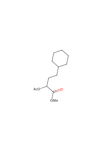 COC(=O)C(CCC1CCCCC1)OC(C)=O